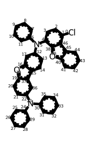 Clc1ccc(N(c2ccccc2)c2ccc3c(c2)oc2ccc(N(c4ccccc4)c4ccccc4)cc23)c2oc3ccccc3c12